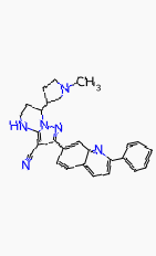 CN1CCC(C2CCNc3c(C#N)c(-c4ccc5ccc(-c6ccccc6)nc5c4)nn32)C1